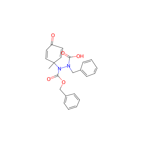 CC1(N(C(=O)OCc2ccccc2)N(Cc2ccccc2)C(=O)O)C=CC(=O)C=C1